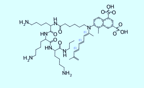 C=C(C)/C=C/C=C/C=C(\C)N(CCCCCC(=O)NC(CCCCN)C(=O)NC(CCCCN)C(=O)NC(CCCCN)C(=O)NCCC)c1ccc2c(S(=O)(=O)O)cc(S(=O)(=O)O)cc2c1C